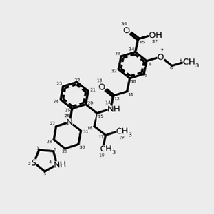 C1CSCN1.CCOc1cc(CC(=O)N[C@@H](CC(C)C)c2ccccc2N2CCCCC2)ccc1C(=O)O